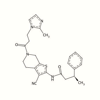 Cc1nccn1CCC(=O)N1CCc2c(sc(NC(=O)C[C@H](C)c3ccccc3)c2C#N)C1